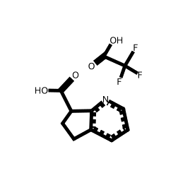 O=C(O)C(F)(F)F.O=C(O)C1CCc2cccnc21